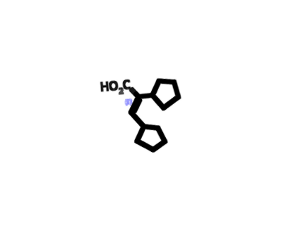 O=C(O)/C(=C/C1CCCC1)C1CCCC1